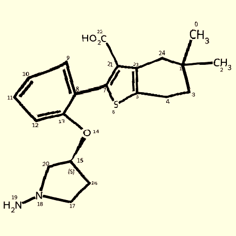 CC1(C)CCc2sc(-c3ccccc3O[C@H]3CCN(N)C3)c(C(=O)O)c2C1